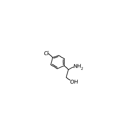 NC(CO)c1ccc(Cl)cc1